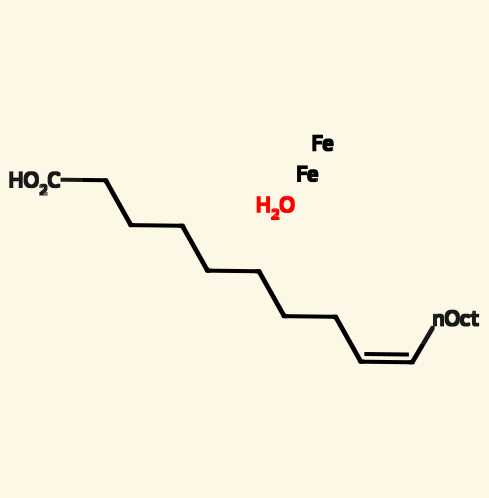 CCCCCCCC/C=C\CCCCCCCC(=O)O.O.[Fe].[Fe]